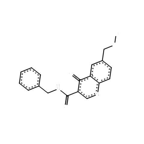 COCc1ccc2[nH]cc(C(=O)NCc3ccccc3)c(=O)c2c1